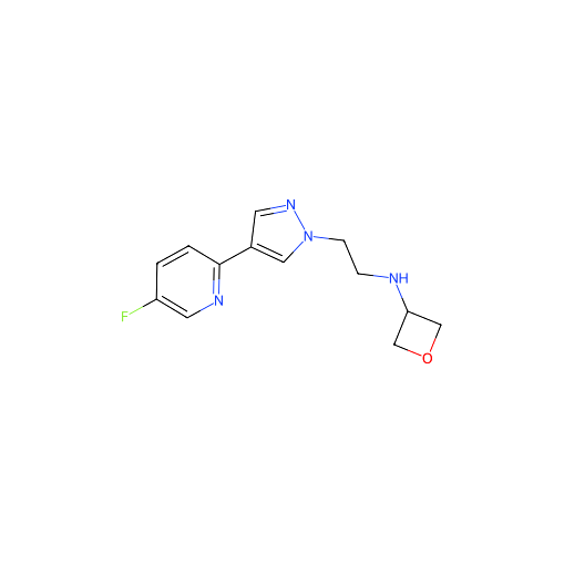 Fc1ccc(-c2cnn(CCNC3COC3)c2)nc1